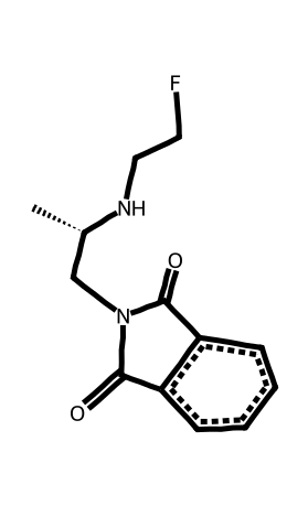 C[C@@H](CN1C(=O)c2ccccc2C1=O)NCCF